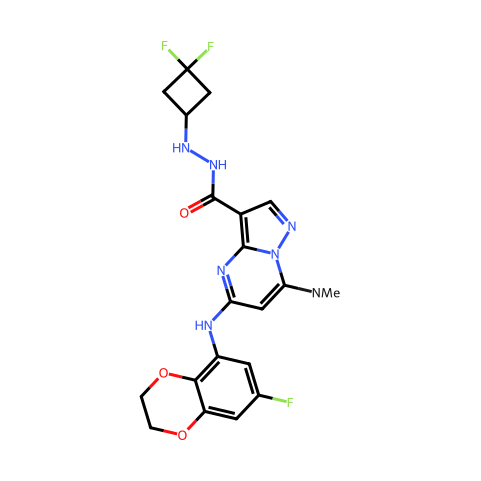 CNc1cc(Nc2cc(F)cc3c2OCCO3)nc2c(C(=O)NNC3CC(F)(F)C3)cnn12